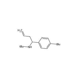 C=CCC(NC(C)(C)C)c1ccc(C(C)(C)C)cc1